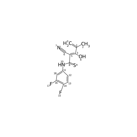 C=C(C)/C(O)=C(\C#N)C(=S)Nc1ccc(F)c(F)c1